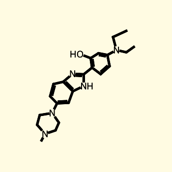 CCN(CC)c1ccc(-c2nc3ccc(N4CCN(C)CC4)cc3[nH]2)c(O)c1